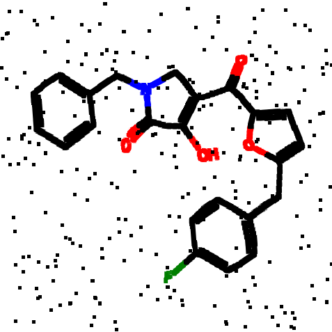 O=C(C1=C(O)C(=O)N(Cc2ccccc2)C1)c1ccc(Cc2ccc(F)cc2)o1